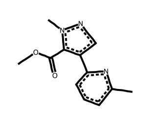 COC(=O)c1c(-c2cccc(C)n2)cnn1C